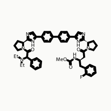 CCN(CC)C(C(=O)N1CCC[C@H]1c1ncc(-c2ccc(-c3ccc(-c4cnc([C@@H]5CCCN5C(=O)C[C@@H](Cc5ccccc5F)NC(=O)OC)[nH]4)cc3)cc2)[nH]1)c1ccccc1